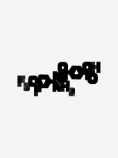 N/C(=N\OC(=O)c1ccc(C2(O)COC2)cc1)c1ccc(C(F)(F)F)c(F)c1